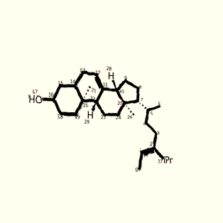 CC=C(CCC(C)[C@H]1CC[C@H]2C3=CCC4CC(O)CC[C@]4(C)[C@H]3CC[C@]12C)C(C)C